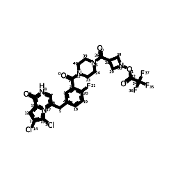 O=C(c1cc(Cc2c[nH]c(=O)c3cc(Cl)c(Cl)n23)ccc1F)N1CCN(C(=O)C2CN(OC(=O)C(F)(F)F)C2)CC1